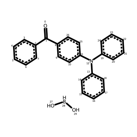 O=C(c1ccccc1)c1ccc(N(c2ccccc2)c2ccccc2)cc1.OBO